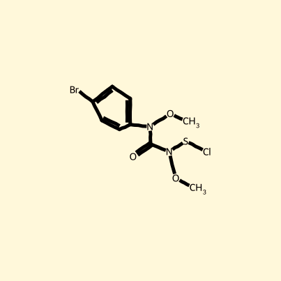 CON(SCl)C(=O)N(OC)c1ccc(Br)cc1